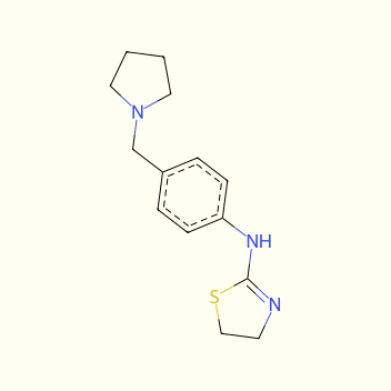 c1cc(NC2=NCCS2)ccc1CN1CCCC1